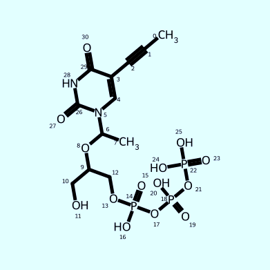 CC#Cc1cn(C(C)OC(CO)COP(=O)(O)OP(=O)(O)OP(=O)(O)O)c(=O)[nH]c1=O